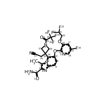 Cc1c(C(N)=O)nc2ccc(Oc3ncc(F)cc3OCC(F)F)c(C3(CC#N)CN(C(=O)C(F)(F)F)C3)n12